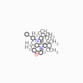 Cc1cc2c3c(c1)N(c1cccc4oc5ccccc5c14)c1cc4c(cc1B3c1cc3c(cc1N2c1ccc(-c2ccccc2)cc1C)C(C)(C)CC3(C)C)C(C)(C)CCC4(C)C